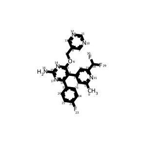 Cc1cc(-c2c(OCc3cncnc3)nc(N)nc2-c2ccc(F)cc2)cc(C(F)F)n1